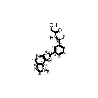 C[C@H](NC(=O)CO)c1cccc(-c2nc3c(ncc4ncn(C)c43)s2)c1